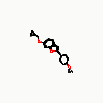 CCCOC1CCC(c2cc3ccc(OCC4CC4)cc3o2)CC1